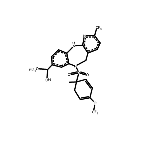 CC1(S(=O)(=O)N2Cc3ccc(C(F)(F)F)nc3Nc3ccc(C(O)C(=O)O)cc32)C=CC(OC(F)(F)F)=CC1